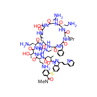 CNC(=O)c1ccccc1Sc1ccc2c(/C=C/c3ccccn3)nn(C(=O)C(C)CC(=O)N[C@@H](CCN)C(=O)N[C@H](C(=O)N[C@@H](CCN)C(=O)N[C@H]3CCNC(=O)[C@H]([C@@H](C)O)NC(=O)[C@H](CCN)NC(=O)[C@H](CCN)NC(=O)[C@H](CC(C)C)NC(=O)[C@@H](Cc4ccccc4)NC(=O)[C@H](CCN)NC3=O)[C@@H](C)O)c2c1